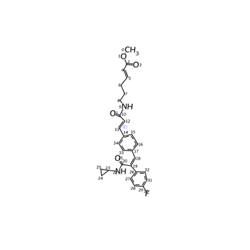 COC(=O)C=CCCCNC(=O)/C=C/c1ccc(C=C(C(=O)NC2CC2)c2ccc(F)cc2)cc1